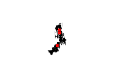 O=C(NCc1cc(Cl)ccn1)Nc1cc(NCc2cn3cc(C4CC4)ccc3n2)ncn1